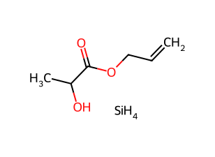 C=CCOC(=O)C(C)O.[SiH4]